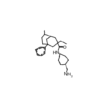 CCC1(C(=O)N[C@H]2CC[C@H](CN)CC2)CC2CC(c3ccccc3)(CCC2C)C1